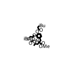 CCC(C)CC(=O)Oc1ccc(C[C@](N)(CC(C)OC(=O)C(C)C)C(=O)OC)cc1OC(=O)CC(C)CC